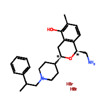 Br.Br.Cc1ccc2c(c1O)C[C@@H](C1CCN(CC(C)c3ccccc3)CC1)O[C@H]2CN